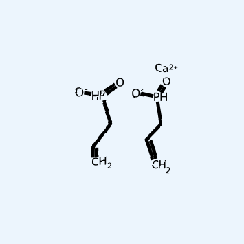 C=CC[PH](=O)[O-].C=CC[PH](=O)[O-].[Ca+2]